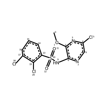 COc1nc(Cl)cnc1NS(=O)(=O)c1cccc(Cl)c1Cl